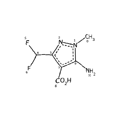 Cn1nc(C(F)F)c(C(=O)O)c1N